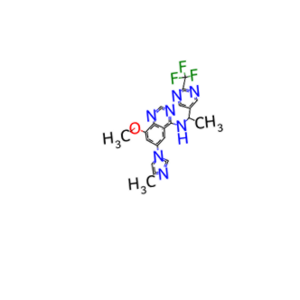 COc1cc(-n2cnc(C)c2)cc2c(NC(C)c3cnc(C(F)(F)F)nc3)ncnc12